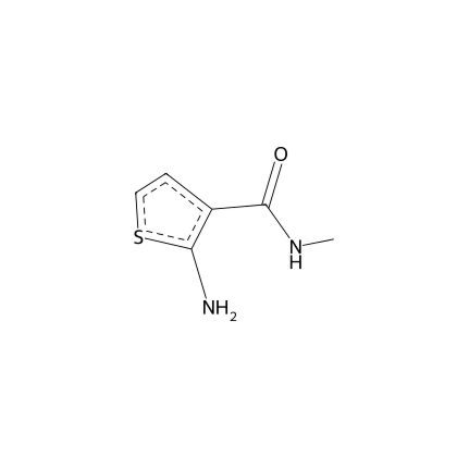 CNC(=O)c1ccsc1N